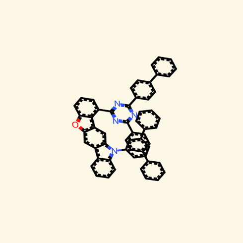 c1ccc(-c2ccc(-c3nc(-c4ccc(-c5ccccc5)cc4)nc(-c4cccc5oc6cc7c8ccccc8n(-c8cccc(-c9ccccc9)c8)c7cc6c45)n3)cc2)cc1